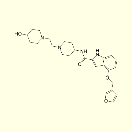 O=C(NC1CCN(CCN2CCC(O)CC2)CC1)c1cc2c(OCc3ccoc3)cccc2[nH]1